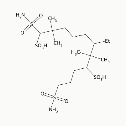 CCC(CCCC(C)(C)C(S(N)(=O)=O)S(=O)(=O)O)C(C)(C)C(CCCS(N)(=O)=O)S(=O)(=O)O